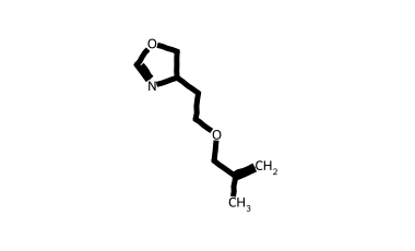 C=C(C)COCCC1COC=N1